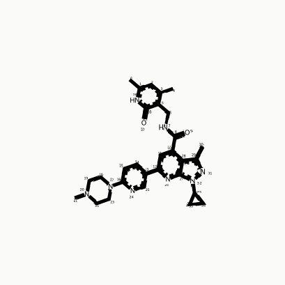 Cc1cc(C)c(CNC(=O)c2cc(-c3ccc(N4CCN(C)CC4)nc3)nc3c2c(C)nn3C2CC2)c(=O)[nH]1